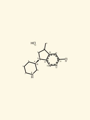 CC1CN([C@@H]2CCCNC2)c2nnc(Cl)cc21.Cl